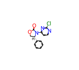 O=C1OC[C@@H](c2ccccc2)N1c1ccnc(Cl)n1